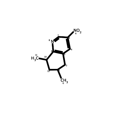 CC1Cc2cc([N+](=O)[O-])cnc2C(C)C1